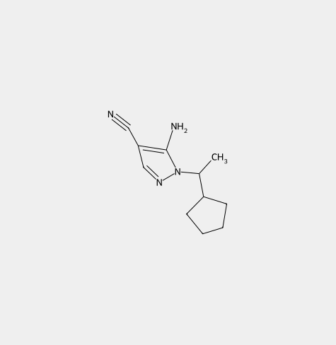 CC(C1CCCC1)n1ncc(C#N)c1N